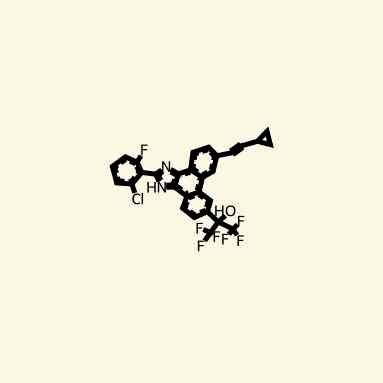 OC(c1ccc2c(c1)c1cc(C#CC3CC3)ccc1c1nc(-c3c(F)cccc3Cl)[nH]c21)(C(F)(F)F)C(F)(F)F